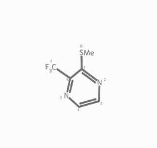 CSc1nccnc1C(F)(F)F